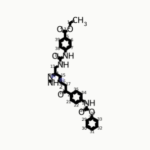 CCOC(=O)c1ccc(NC(=O)NCC(/C=C/CC(=O)c2ccc(NC(=O)Oc3ccccc3)cc2)=N/N)cc1